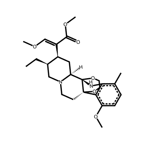 CC[C@@H]1CN2CC[C@@]34OCCO[C@@]3(Nc3c(C)ccc(OC)c34)[C@@H]2C[C@@H]1/C(=C\OC)C(=O)OC